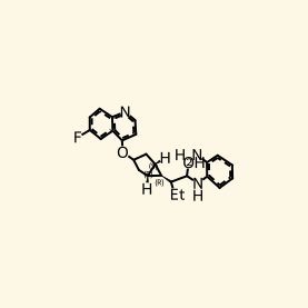 CCC(C(O)Nc1ccccc1N)[C@H]1[C@@H]2CC(Oc3ccnc4ccc(F)cc34)C[C@@H]21